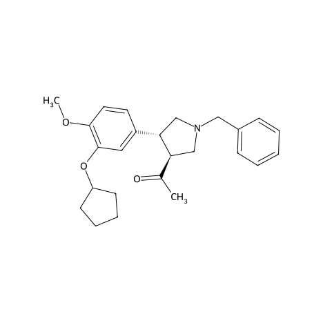 COc1ccc([C@@H]2CN(Cc3ccccc3)C[C@H]2C(C)=O)cc1OC1CCCC1